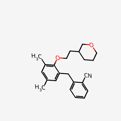 Cc1cc(C)c(OCCC2CCCOC2)c(Cc2ccccc2C#N)c1